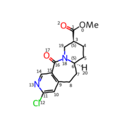 COC(=O)[C@H]1CC[C@H]2CCc3cc(Cl)ncc3C(=O)N2C1